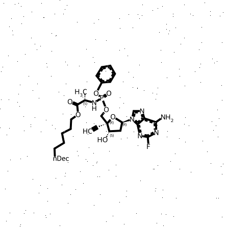 C#C[C@]1(COP(=O)(N[C@@H](C)C(=O)OCCCCCCCCCCCCCCC)Oc2ccccc2)O[C@@H](n2cnc3c(N)nc(F)nc32)C[C@@H]1O